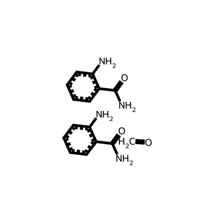 C=O.NC(=O)c1ccccc1N.NC(=O)c1ccccc1N